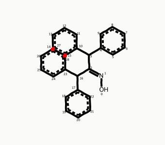 ON=C(C(c1ccccc1)c1ccccc1)C(c1ccccc1)c1ccccc1